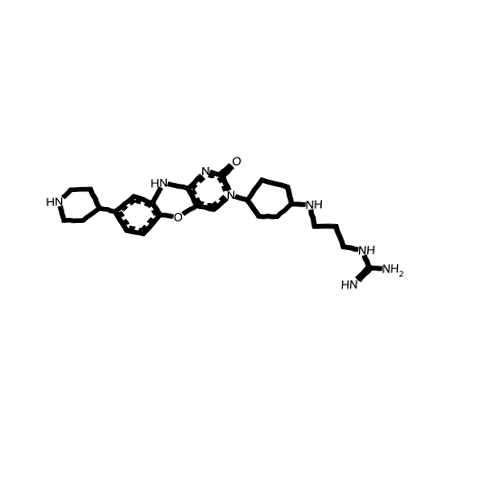 N=C(N)NCCCNC1CCC(n2cc3c(nc2=O)Nc2cc(C4CCNCC4)ccc2O3)CC1